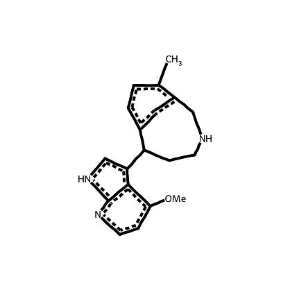 COc1ccnc2[nH]cc(C3CCNCc4cc3ccc4C)c12